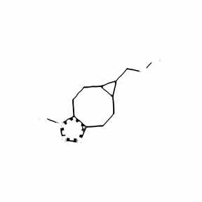 CC(C)n1nnc2c1CCC1C(CC2)C1COC(C)(C)C